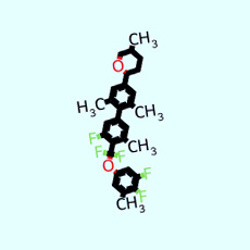 Cc1cc(OC(F)(F)c2c(C)cc(-c3c(C)cc(C4CCC(C)CO4)cc3C)cc2F)cc(F)c1F